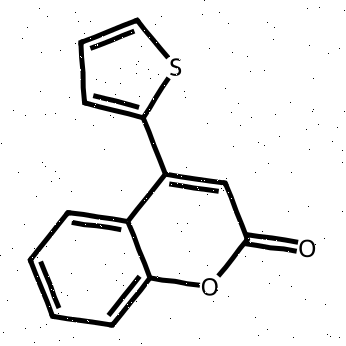 O=c1cc(-c2cccs2)c2ccccc2o1